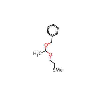 CSCCOC(C)OCc1ccccc1